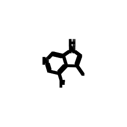 Cc1c[nH]c2cncc(F)c12